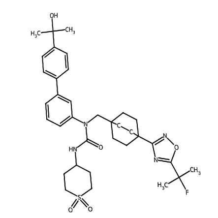 CC(C)(O)c1ccc(-c2cccc(N(CC34CCC(c5noc(C(C)(C)F)n5)(CC3)CC4)C(=O)NC3CCS(=O)(=O)CC3)c2)cc1